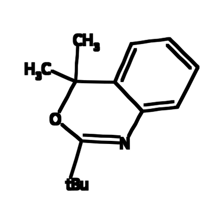 CC(C)(C)C1=Nc2ccccc2C(C)(C)O1